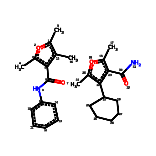 Cc1oc(C)c(C(=O)Nc2ccccc2)c1C.Cc1oc(C)c(C2CCCCC2)c1C(N)=O